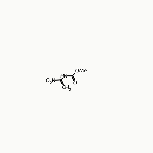 C=C(NC(=O)OC)[N+](=O)[O-]